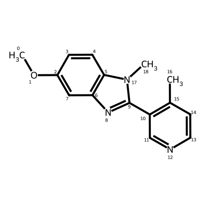 COc1ccc2c(c1)nc(-c1cnccc1C)n2C